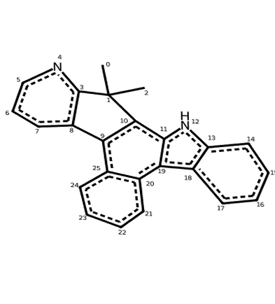 CC1(C)c2ncccc2-c2c1c1[nH]c3ccccc3c1c1ccccc21